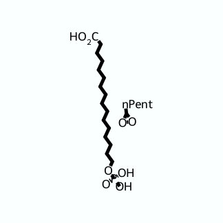 CCCCCC1OO1.O=C(O)CCCCCCCCCCCCCCCOP(=O)(O)O